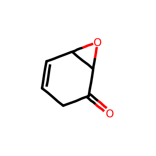 O=C1CC=CC2OC12